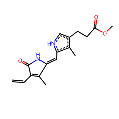 C=CC1=C(C)/C(=C/c2[nH]cc(CCC(=O)OC)c2C)NC1=O